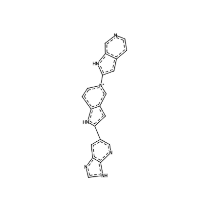 c1cc2cc(-[n+]3ccc4[nH]c(-c5cnc6[nH]cnc6c5)cc4c3)[nH]c2cn1